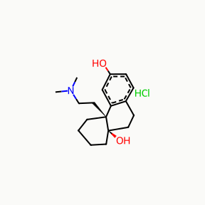 CN(C)CC[C@]12CCCC[C@@]1(O)CCc1ccc(O)cc12.Cl